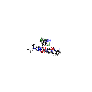 CN(C1CC1)C1CCN(C(=O)C(Cc2cc(Cl)c(N)c(C(F)(F)F)c2)OC(=O)N2CCC(N3CCc4ccccc4NC3=O)CC2)CC1